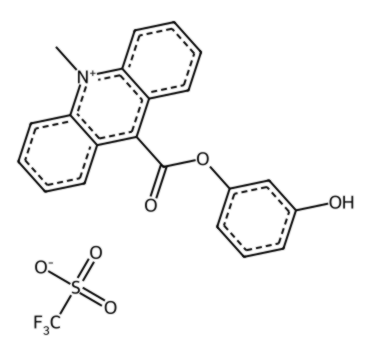 C[n+]1c2ccccc2c(C(=O)Oc2cccc(O)c2)c2ccccc21.O=S(=O)([O-])C(F)(F)F